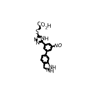 O=Nc1cc(-c2ccc3c(c2)NNC3)cc(-c2nnc(SCC(=O)O)[nH]2)c1